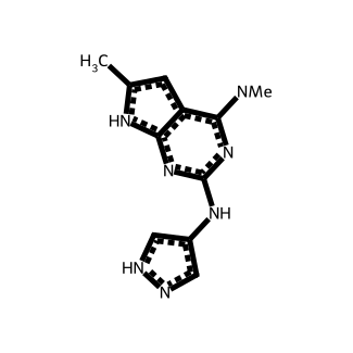 CNc1nc(Nc2cn[nH]c2)nc2[nH]c(C)cc12